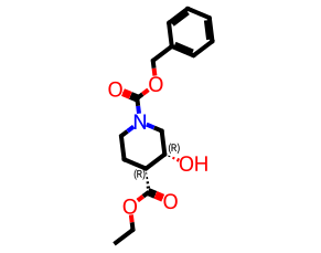 CCOC(=O)[C@@H]1CCN(C(=O)OCc2ccccc2)C[C@@H]1O